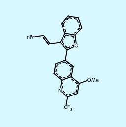 CCCC=Cc1c(-c2ccc3nc(C(F)(F)F)cc(OC)c3c2)oc2ccccc12